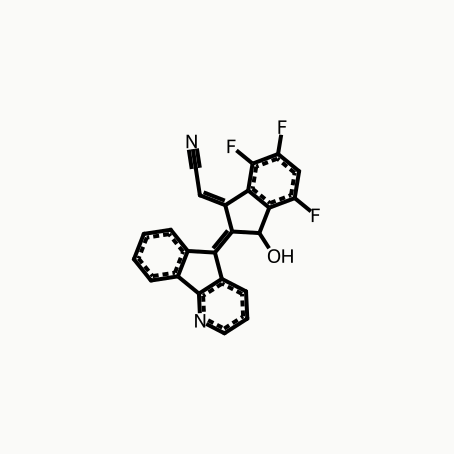 N#C/C=C1/C(=C2\c3ccccc3-c3ncccc32)C(O)c2c(F)cc(F)c(F)c21